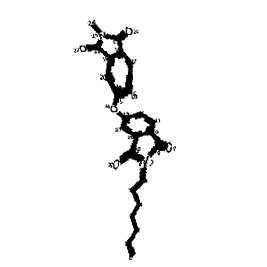 CCCCCCCN1C(=O)c2ccc(Oc3ccc4c(c3)C(=O)N(C)C4=O)cc2C1=O